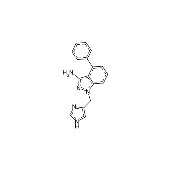 Nc1nn(Cc2c[nH]cn2)c2cccc(-c3ccccc3)c12